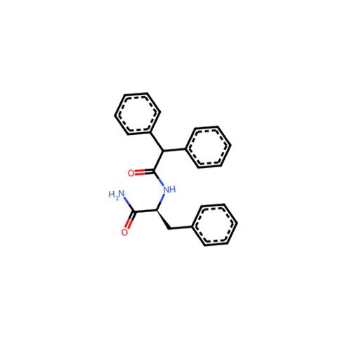 NC(=O)[C@H](Cc1ccccc1)NC(=O)C(c1ccccc1)c1ccccc1